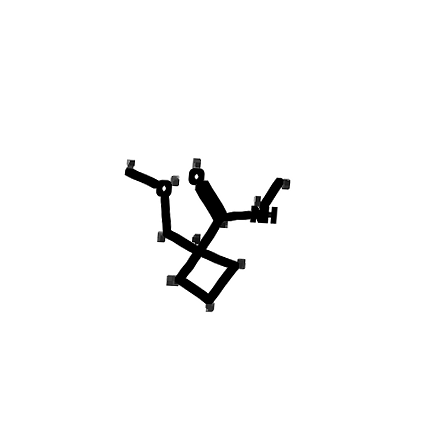 CNC(=O)C1(COC)CCC1